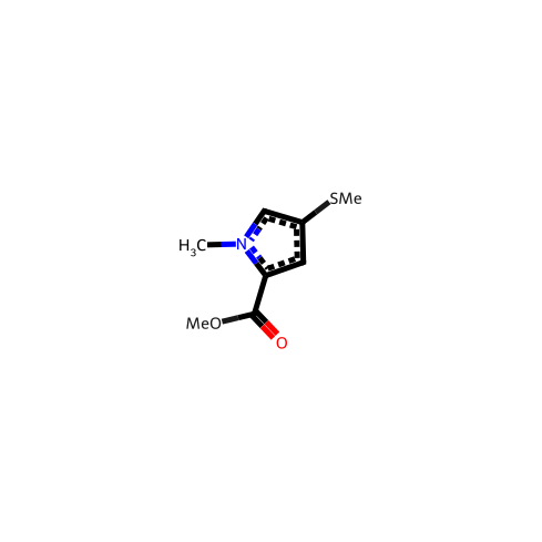 COC(=O)c1cc(SC)cn1C